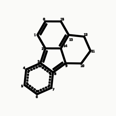 C1=CC2=c3ccccc3=C3CCCC(=C23)C1